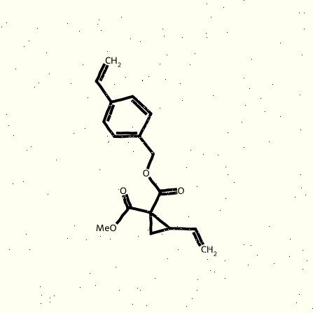 C=Cc1ccc(COC(=O)C2(C(=O)OC)CC2C=C)cc1